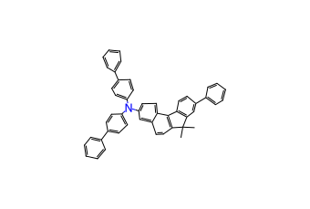 CC1(C)c2cc(-c3ccccc3)ccc2-c2c1ccc1cc(N(c3ccc(-c4ccccc4)cc3)c3ccc(-c4ccccc4)cc3)ccc21